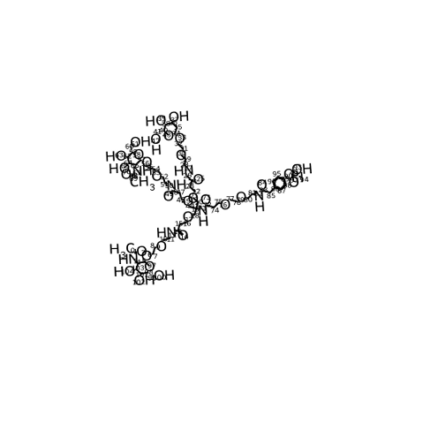 CC(=O)N[C@H]1[C@H](OCCOCCNC(=O)CCOCC(COCCC(=O)CNCCOCCO[C@H]2C[C@@H](O)[C@@H](O)[C@@H](CO)O2)(COCCC(=O)NCCOCCO[C@@H]2O[C@H](CO)[C@H](O)[C@H](O)[C@H]2NC(C)=O)NC(=O)CCOCCOCCNC(=O)Cc2ccc(OP(=O)(O)I)cc2)O[C@H](CO)[C@H](O)[C@@H]1O